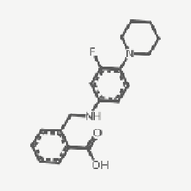 O=C(O)c1ccccc1CNc1ccc(N2CCCCC2)c(F)c1